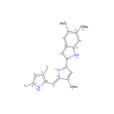 COC1=CC(c2cc3cc(OC)c(OC)cc3[nH]2)=NC1=Cc1[nH]c(C)cc1C